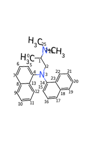 CC(CN(c1cccc2ccccc12)c1cccc2ccccc12)N(C)C